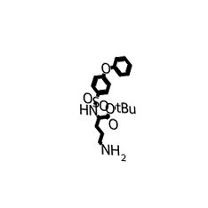 CC(C)(C)OC(=O)C(CCCN)NS(=O)(=O)c1ccc(Oc2ccccc2)cc1